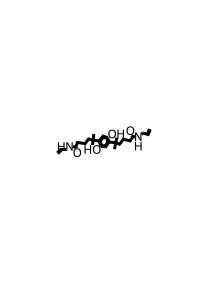 C=CCNC(=O)CCCC(C)(C)c1cc(O)c(C(C)(C)CCCC(=O)NCC=C)cc1O